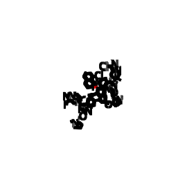 C#Cc1c(F)ccc2cc(OC3CCN(C)C3COc3nc4c(c(N5Cc6c(Cl)ncn6C[C@H]5C)n3)CCN(c3cccc5cccc(Cl)c35)C4)cc(-c3ccc4c(N5Cc6c(F)ncn6C[C@H]5C)nc(OC[C@@H]5CCCN5C)nc4c3)c12